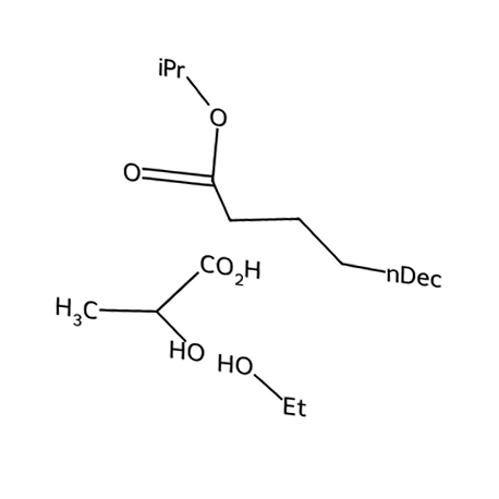 CC(O)C(=O)O.CCCCCCCCCCCCCC(=O)OC(C)C.CCO